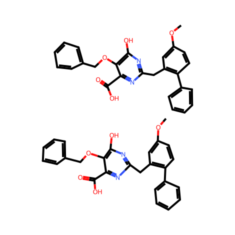 COc1ccc(-c2ccccc2)c(Cc2nc(O)c(OCc3ccccc3)c(C(=O)O)n2)c1.COc1ccc(-c2ccccc2)c(Cc2nc(O)c(OCc3ccccc3)c(C(=O)O)n2)c1